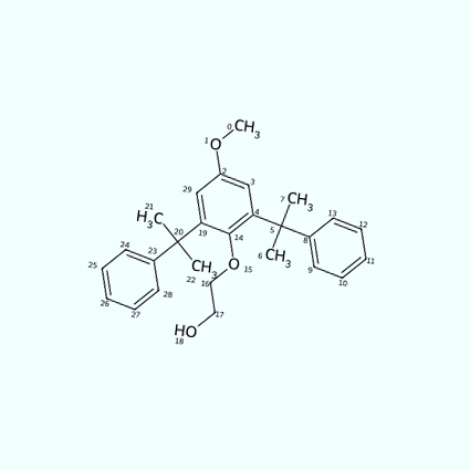 COc1cc(C(C)(C)c2ccccc2)c(OCCO)c(C(C)(C)c2ccccc2)c1